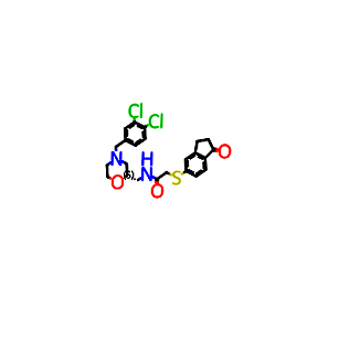 O=C(CSc1ccc2c(c1)CCC2=O)NC[C@H]1CN(Cc2ccc(Cl)c(Cl)c2)CCO1